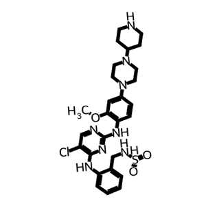 COc1cc(N2CCN(C3CCNCC3)CC2)ccc1Nc1ncc(Cl)c(Nc2ccccc2CN[SH](=O)=O)n1